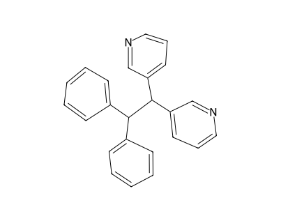 c1ccc(C(c2ccccc2)C(c2cccnc2)c2cccnc2)cc1